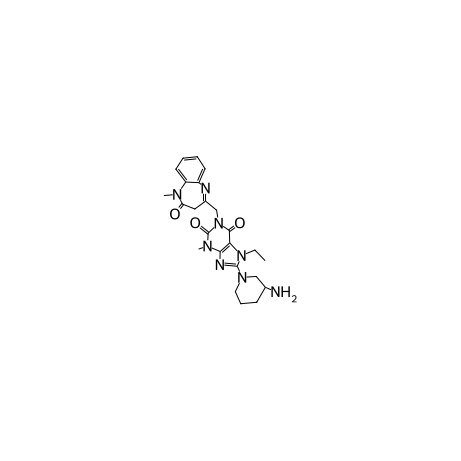 CCn1c(N2CCCC(N)C2)nc2c1c(=O)n(CC1=Nc3ccccc3N(C)C(=O)C1)c(=O)n2C